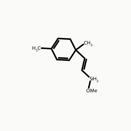 CO[SiH2]C=CC1(C)C=CC(C)=CC1